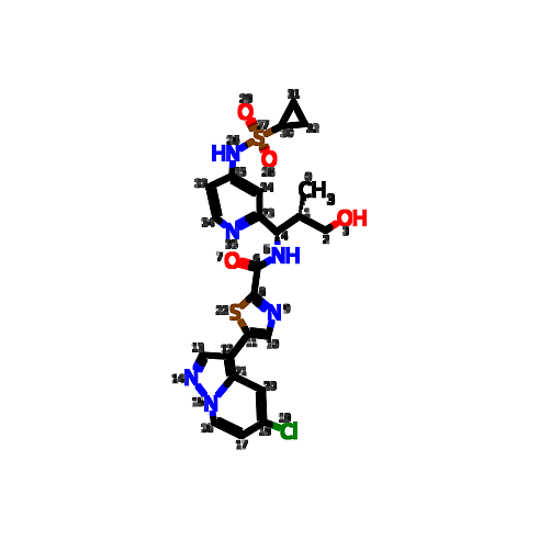 C[C@H](CO)[C@H](NC(=O)c1ncc(-c2cnn3ccc(Cl)cc23)s1)c1cc(NS(=O)(=O)C2CC2)ccn1